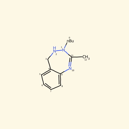 CCCCN1NCc2ccccc2N=C1C